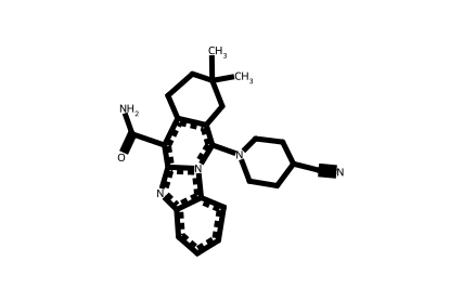 CC1(C)CCc2c(c(N3CCC(C#N)CC3)n3c(nc4ccccc43)c2C(N)=O)C1